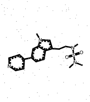 CN(C)S(=O)(=O)N(C)CCc1cn(C)c2cc(-c3ccncc3)ccc12